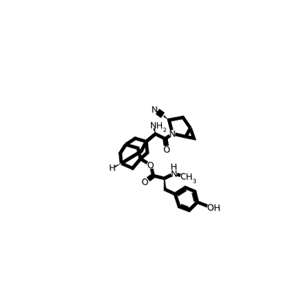 CN[C@@H](Cc1ccc(O)cc1)C(=O)OC12CC3C[C@H](C1)CC([C@H](N)C(=O)N1C4CC4C[C@H]1C#N)(C3)C2